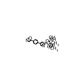 CC(CCn1cc(-c2ccc(-c3cnco3)cc2)cn1)(C(=O)NO)S(C)(=O)=O